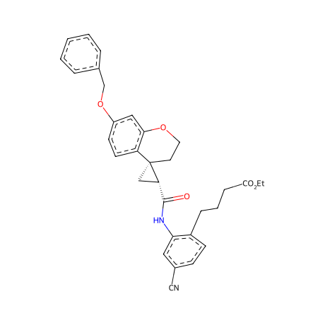 CCOC(=O)CCCc1ccc(C#N)cc1NC(=O)[C@@H]1C[C@]12CCOc1cc(OCc3ccccc3)ccc12